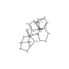 O=C(N1CCCc2ccccc21)N1C2CCC1CC(c1ccn[nH]1)C2